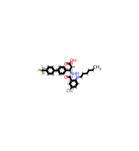 CCCCCCNc1ccc(Cl)cc1C(=O)NC(CC(=O)O)c1ccc(-c2ccc(C(F)(F)F)cc2)cc1